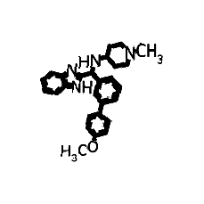 COc1ccc(-c2cccc(C(NC3CCN(C)CC3)c3nc4ccccc4[nH]3)c2)cc1